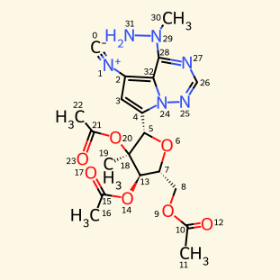 [C-]#[N+]c1cc([C@@H]2O[C@H](COC(C)=O)[C@@H](OC(C)=O)[C@@]2(C)OC(C)=O)n2ncnc(N(C)N)c12